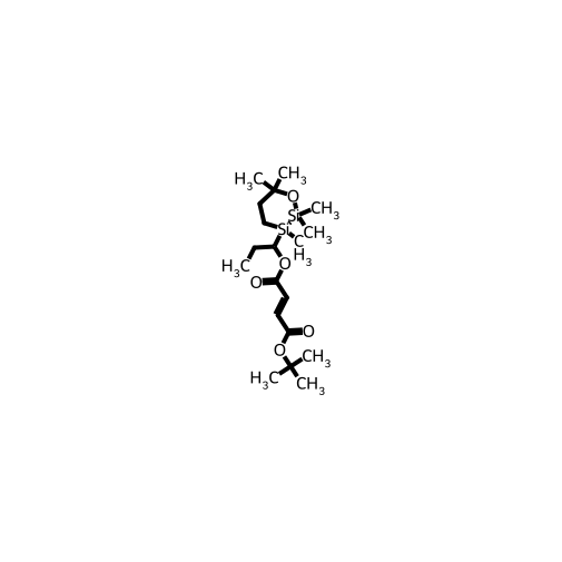 CCC(OC(=O)C=CC(=O)OC(C)(C)C)[Si]1(C)CCC(C)(C)O[Si]1(C)C